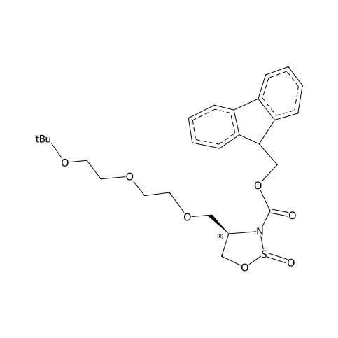 CC(C)(C)OCCOCCOC[C@@H]1COS(=O)N1C(=O)OCC1c2ccccc2-c2ccccc21